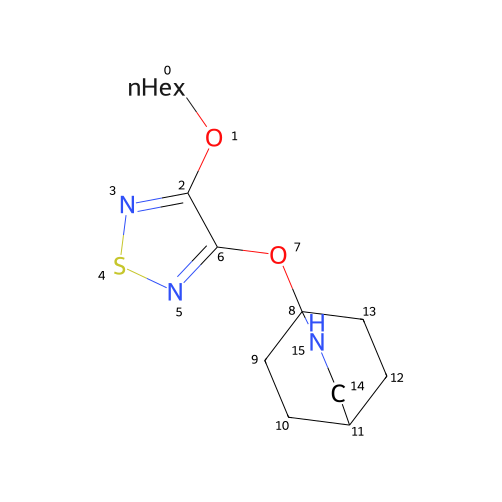 CCCCCCOc1nsnc1OC12CCC(CC1)CN2